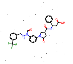 O=CN(NCc1cccc(C(F)(F)F)c1)c1cccc(N2CC(C(=O)NC(CC(=O)O)c3ccccc3)CC2=O)c1